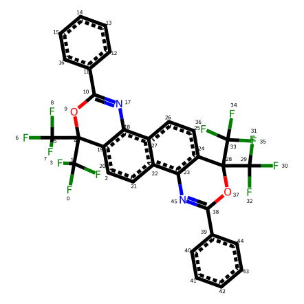 FC(F)(F)C1(C(F)(F)F)OC(c2ccccc2)=Nc2c1ccc1c3c(ccc21)C(C(F)(F)F)(C(F)(F)F)OC(c1ccccc1)=N3